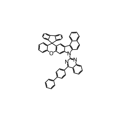 c1ccc(-c2ccc(-c3nc(-n4c5cc6c(cc5c5c7ccccc7ccc54)C4(c5ccccc5O6)c5ccccc5-c5ccccc54)nc4ccccc34)cc2)cc1